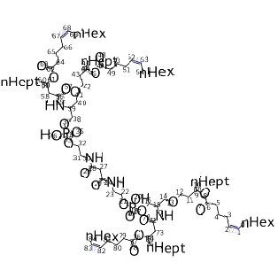 CCCCCC/C=C\CCCC(=O)O[C@H](CCCCCCC)CCOCC(COP(=O)(O)OCCNC(=O)CC(=O)NCCOP(=O)(O)OCC(COCC[C@@H](CCCCCCC)OC(=O)CCC/C=C\CCCCCC)NC(=O)C[C@@H](CCCCCCC)OC(=O)CCC/C=C\CCCCCC)NC(=O)C[C@@H](CCCCCCC)OC(=O)CCC/C=C\CCCCCC